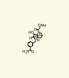 COCC(=O)N1CC2C[C@@H]3C1[C@@H](O)[C@H](C2)N3Cc1cccc(C(N)=O)c1